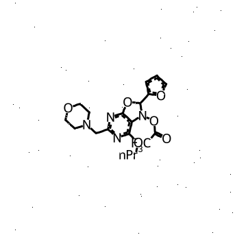 CCCOc1nc(CN2CCOCC2)nc2c1N(OC(=O)C(F)(F)F)C(c1ccco1)O2